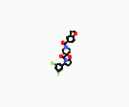 O=C(c1ccc2c(c1)CCO2)N1CCC2(CC1)OC1CCC(c3cc(F)cc(F)c3)N1C2=O